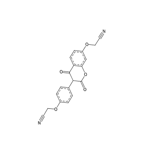 N#CCOc1ccc(C2C(=O)Oc3cc(OCC#N)ccc3C2=O)cc1